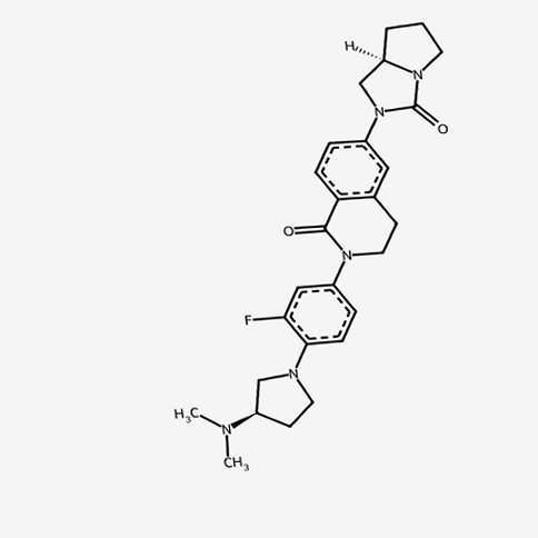 CN(C)[C@@H]1CCN(c2ccc(N3CCc4cc(N5C[C@H]6CCCN6C5=O)ccc4C3=O)cc2F)C1